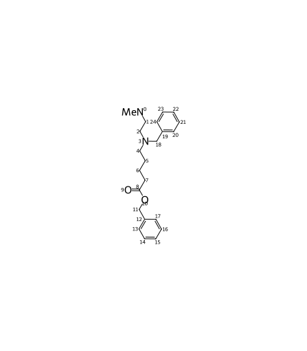 CNCCN(CCCCC(=O)OCc1ccccc1)Cc1ccccc1